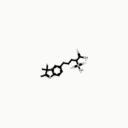 CC1=Nc2ccc(CCCC(C(=O)O)S(=O)(=O)O)cc2C1(C)C